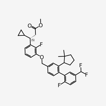 COC(=O)C[C@H](c1cccc(OCc2ccc(-c3cc(C(F)F)ccc3F)c(C3CCCC3(C)C)c2)c1F)C1CC1